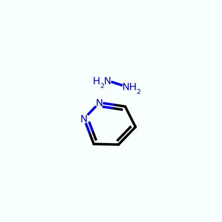 NN.c1ccnnc1